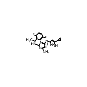 CC(Nc1nc(N)nc(Nc2cc(C3CC3)[nH]n2)n1)c1cc(F)ccc1F